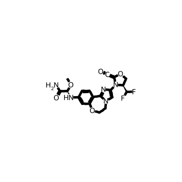 CO[C@H](Nc1ccc2c(c1)OCCn1cc(N3C(=C=O)OC[C@H]3C(F)F)nc1-2)C(N)=O